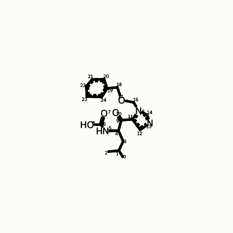 CC(C)CC(NC(=O)O)C(=O)c1cncn1COCc1ccccc1